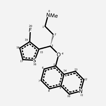 CNCC[C@H](Oc1cccc2cnccc12)c1sccc1F